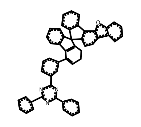 C1=C(c2cccc(-c3nc(-c4ccccc4)nc(-c4ccccc4)n3)c2)C2=C(CC1)C1(c3ccccc32)c2ccccc2-c2c1ccc1c2oc2ccccc21